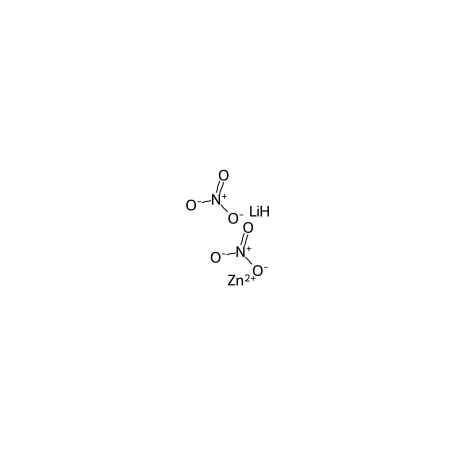 O=[N+]([O-])[O-].O=[N+]([O-])[O-].[LiH].[Zn+2]